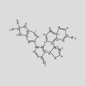 O=c1ccn(-c2ccc3c(c2)OC(F)(F)O3)nc1C1CC=NN1c1ccnc2ccc(F)cc12